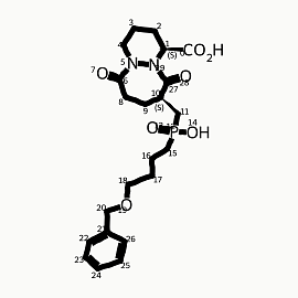 O=C(O)[C@@H]1CCCN2C(=O)CC[C@H](CP(=O)(O)CCCCOCc3ccccc3)C(=O)N12